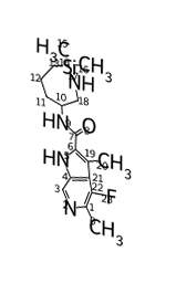 Cc1ncc2[nH]c(C(=O)NC3CCC[Si](C)(C)NC3)c(C)c2c1F